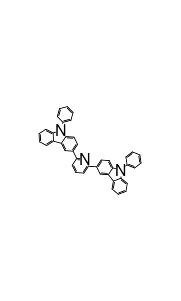 c1ccc(-n2c3ccccc3c3cc(-c4cccc(-c5ccc6c(c5)c5ccccc5n6-c5ccccc5)n4)ccc32)cc1